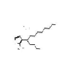 CCCCCCCCC(CCCC)c1ccoc1S(=O)(=O)[O-].[Na+]